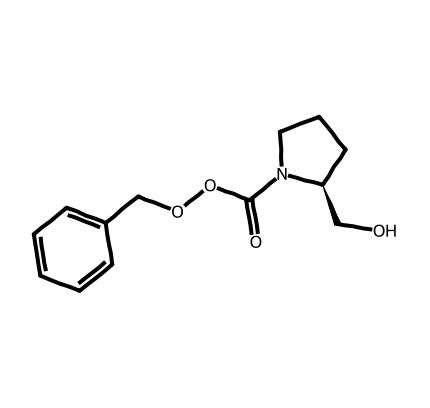 O=C(OOCc1ccccc1)N1CCC[C@H]1CO